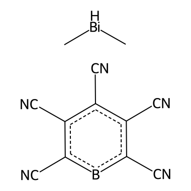 N#Cc1bc(C#N)c(C#N)c(C#N)c1C#N.[CH3][BiH][CH3]